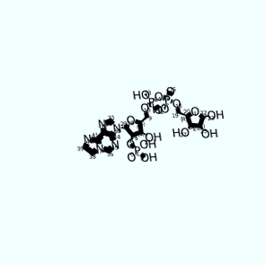 O=P(O)(O)O[C@@H]1[C@@H](O)[C@H](CO[P@@](=O)(O)O[P@](=O)(O)OC[C@H]2O[C@H](O)[C@@H](O)[C@@H]2O)O[C@H]1n1cnc2c1ncn1ccnc21